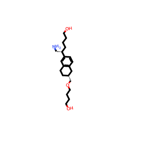 NC[C@H](CCCCO)c1ccc2c(c1)CC[C@@H](COCCCCO)C2